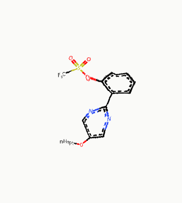 CCCCCCCOc1cnc(-c2ccccc2OS(=O)(=O)C(F)(F)F)nc1